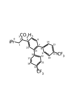 CC(C)CC(C(=O)O)c1ccc(-c2ccc(C(F)(F)F)cc2)c(-c2ccc(C(F)(F)F)cc2)c1